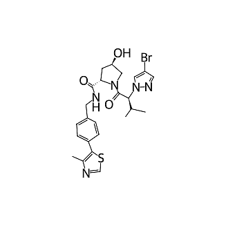 Cc1ncsc1-c1ccc(CNC(=O)[C@@H]2C[C@@H](O)CN2C(=O)[C@H](C(C)C)n2cc(Br)cn2)cc1